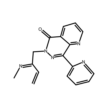 C=C/C(Cn1nc(-c2ccccn2)c2ncccc2c1=O)=N\C